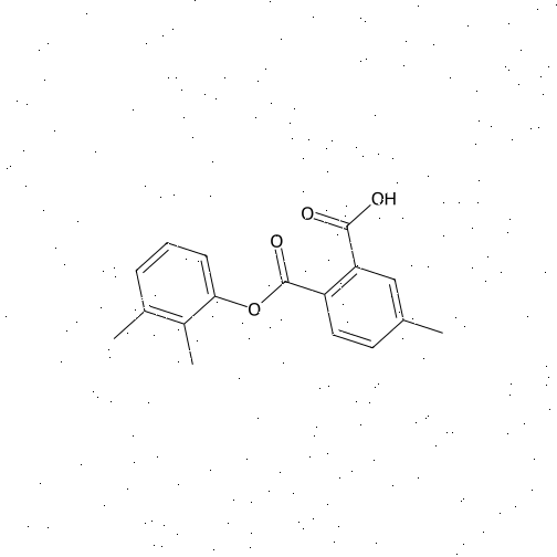 Cc1ccc(C(=O)Oc2cccc(C)c2C)c(C(=O)O)c1